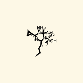 CCCCC1N=C(C2CC2)N(N)C(C)(N)N1S(=O)(=O)O